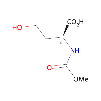 COC(=O)N[C@@H](CCO)C(=O)O